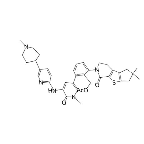 CC(=O)OCc1c(-c2cc(Nc3ccc(C4CCN(C)CC4)cn3)c(=O)n(C)c2)cccc1N1CCc2c(sc3c2CC(C)(C)C3)C1=O